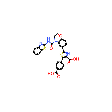 O=C(O)c1ccc(-c2sc(-c3ccc4c(c3)N(C(=O)Nc3nc5ccccc5s3)CCO4)nc2C(=O)O)cc1